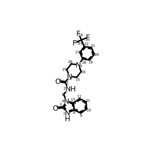 O=C(NCn1c(=O)[nH]c2ccccc21)N1CCN(c2cccc(C(F)(F)F)c2)CC1